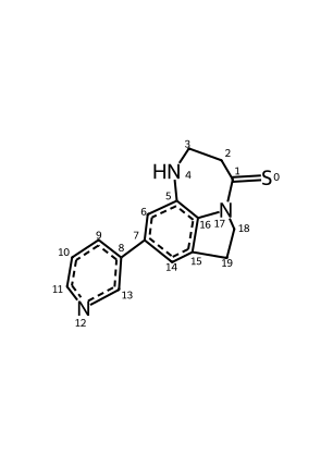 S=C1CCNc2cc(-c3cccnc3)cc3c2N1CC3